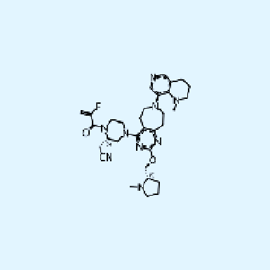 C=C(F)C(=O)N1CCN(c2nc(OC[C@@H]3CCCN3C)nc3c2CCN(c2cncc4c2N(C)CCC4)CC3)C[C@@H]1CC#N